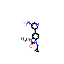 Cn1c(=O)n(CC2CC2)c2ccc(-c3cncc(N)c3)cc21